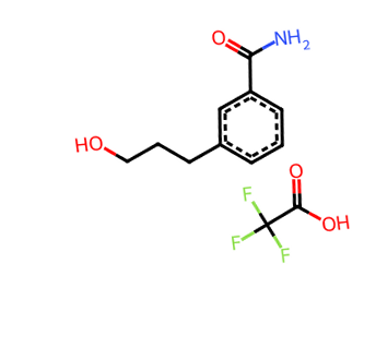 NC(=O)c1cccc(CCCO)c1.O=C(O)C(F)(F)F